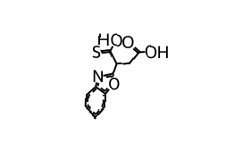 O=C(O)CC(C(O)=S)c1nc2ccccc2o1